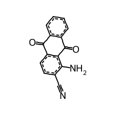 N#Cc1ccc2c(c1N)C(=O)c1ccccc1C2=O